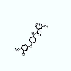 CN/C=C(\N=N)C(=O)N[C@H]1CC[C@H](Oc2ccc(C#N)c(Cl)c2)CC1